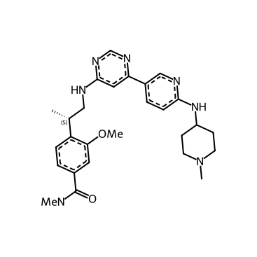 CNC(=O)c1ccc([C@H](C)CNc2cc(-c3ccc(NC4CCN(C)CC4)nc3)ncn2)c(OC)c1